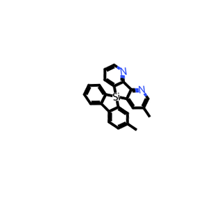 Cc1ccc2c(c1)[Si]1(c3ccccc3-2)c2cccnc2-c2ncc(C)cc21